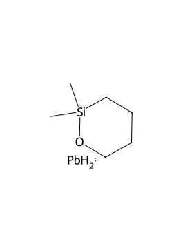 C[Si]1(C)CCCCO1.[PbH2]